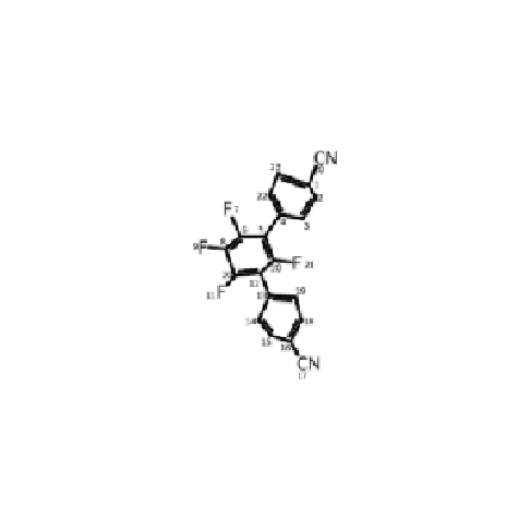 N#Cc1ccc(-c2c(F)c(F)c(F)c(-c3ccc(C#N)cc3)c2F)cc1